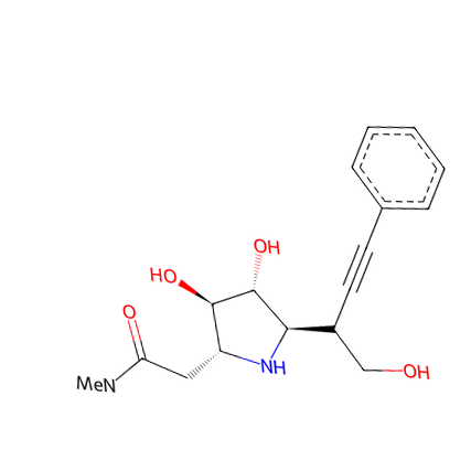 CNC(=O)C[C@H]1N[C@H](C(C#Cc2ccccc2)CO)[C@@H](O)[C@@H]1O